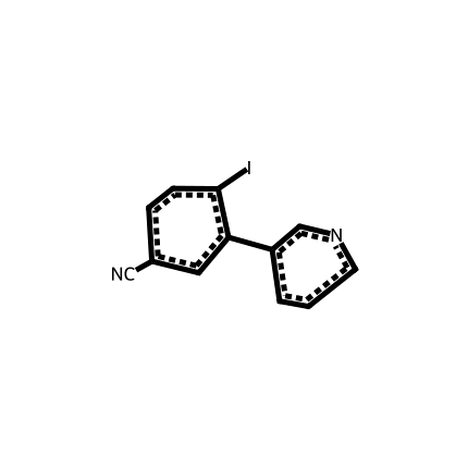 N#Cc1ccc(I)c(-c2cccnc2)c1